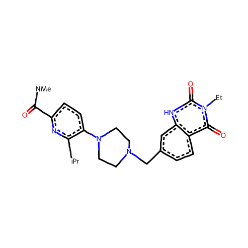 CCn1c(=O)[nH]c2cc(CN3CCN(c4ccc(C(=O)NC)nc4C(C)C)CC3)ccc2c1=O